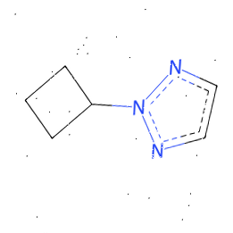 c1cnn(C2CCC2)n1